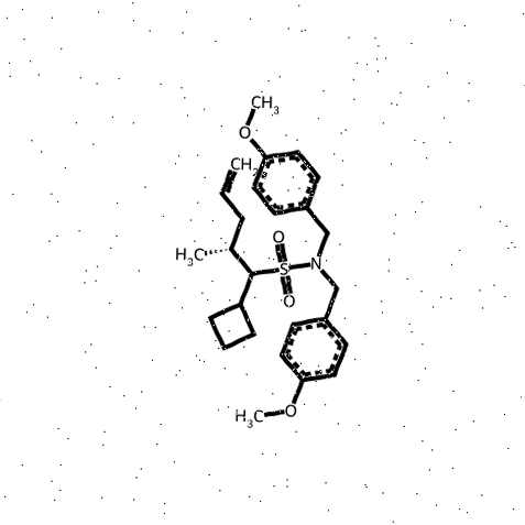 C=CC[C@@H](C)C(C1CCC1)S(=O)(=O)N(Cc1ccc(OC)cc1)Cc1ccc(OC)cc1